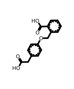 O=C(O)Cc1ccc(OCc2ccccc2C(=O)O)cc1